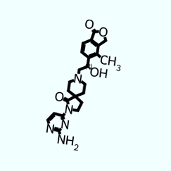 Cc1c([C@@H](O)CN2CCC3(CC2)CCN(c2ccnc(N)n2)C3=O)ccc2c1COC2=O